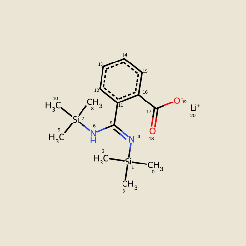 C[Si](C)(C)N=C(N[Si](C)(C)C)c1ccccc1C(=O)[O-].[Li+]